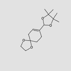 CC1(C)OC(C2=CCC3(CC2)OCCO3)OC1(C)C